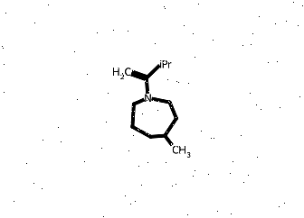 C=C(C(C)C)N1CCCC(C)CC1